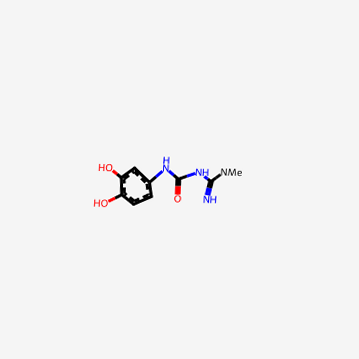 CNC(=N)NC(=O)Nc1ccc(O)c(O)c1